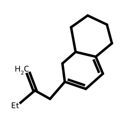 C=C(CC)CC1=CC=C2CCCCC2C1